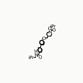 CC(C)CNC(=O)c1ccc(-c2ccc(OCC3CCN(C(=O)OC(C)C)CC3)cc2)cc1